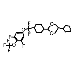 Fc1cc(OC(F)(F)C2CCC(C3OCC(C4CCCC4)CO3)CC2)cc(F)c1OC(F)(F)F